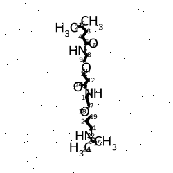 CC(C)CCC(=O)NCCOCCC(=O)NCCOCCCNC(C)C